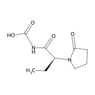 CC[C@@H](C(=O)NC(=O)O)N1CCCC1=O